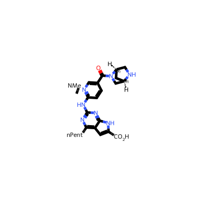 CCCCCc1nc(Nc2ccc(C(=O)N3C[C@H]4C[C@@H]3CN4)cn2)nc2[nH]c(C(=O)O)cc12.CNC